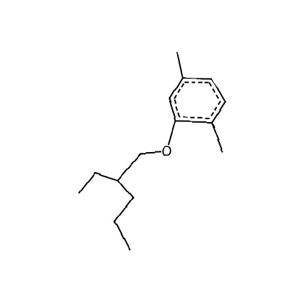 CCCC(CC)COc1cc(C)ccc1C